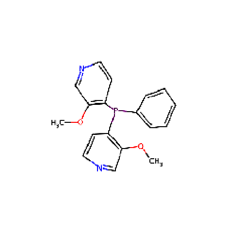 COc1cnccc1P(c1ccccc1)c1ccncc1OC